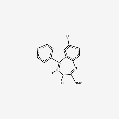 CNC1=Nc2ccc(Cl)cc2C(c2ccccc2)=[N+]([O-])C1S